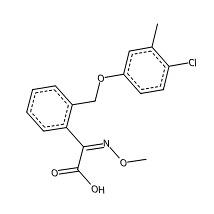 CON=C(C(=O)O)c1ccccc1COc1ccc(Cl)c(C)c1